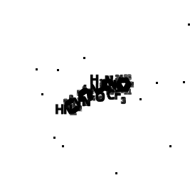 O=C(Nc1ccc(N2CCNCC2)nc1)c1cnn(-c2ccccc2)c1C(F)(F)F